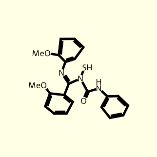 COc1ccccc1N=C(c1ccccc1OC)N(S)C(=O)Nc1ccccc1